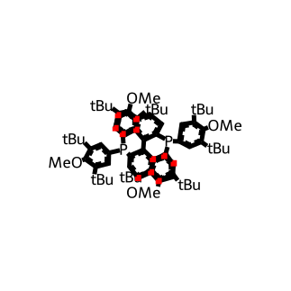 COc1c(C(C)(C)C)cc(P(c2cc(C(C)(C)C)c(OC)c(C(C)(C)C)c2)c2ccc3ccccc3c2-c2c(P(c3cc(C(C)(C)C)c(OC)c(C(C)(C)C)c3)c3cc(C(C)(C)C)c(OC)c(C(C)(C)C)c3)ccc3ccccc23)cc1C(C)(C)C